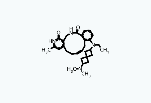 CCN(c1cccc2c1CC=CCCc1cc(C)[nH]c(=O)c1CNC2=O)C1CC2(CC(N(C)C)C2)C1